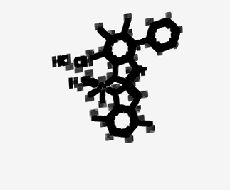 CC1=Cc2c(-c3ccccc3)c(C)c(C)c(C)c2[CH]1[Zr]([CH3])([CH3])(=[SiH2])[CH]1C(C(C)C)=Cc2c(C)ccc(C)c21.Cl.Cl